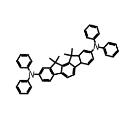 CC1(C)c2cc(N(c3ccccc3)c3ccccc3)ccc2-c2ccc3c(c21)C(C)(C)C1C=C(N(c2ccccc2)c2ccccc2)C=CC31